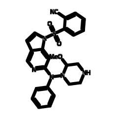 COC1CNCCN1N(c1ccccc1)c1cc2c(ccn2S(=O)(=O)c2ccccc2C#N)cn1